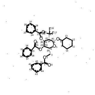 O=C(OC[C@H]1O[C@@H](OC2CCCCC2)[C@@H](C(F)(F)F)[C@@H](OC(=O)c2ccccc2)[C@@H]1OC(=O)c1ccccc1)c1ccccc1